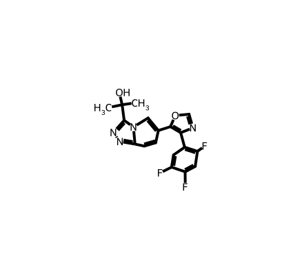 CC(C)(O)c1nnc2ccc(-c3ocnc3-c3cc(F)c(F)cc3F)cn12